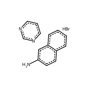 Br.Nc1ccc2ccccc2c1.c1cncnc1